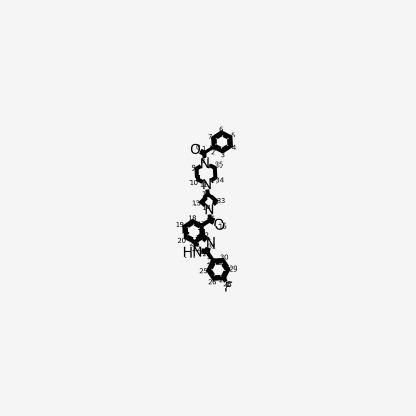 O=C(c1ccccc1)N1CCN(C2CN(C(=O)c3cccc4[nH]c(-c5ccc(F)cc5)nc34)C2)CC1